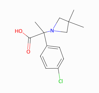 CC1(C)CN(C(C)(C(=O)O)c2ccc(Cl)cc2)C1